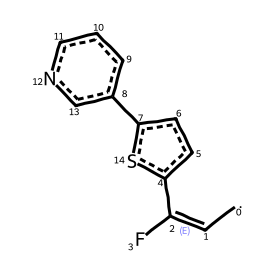 [CH2]/C=C(/F)c1ccc(-c2cccnc2)s1